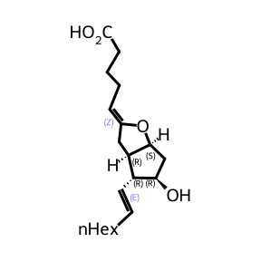 CCCCCC/C=C/[C@@H]1[C@H]2C/C(=C/CCCC(=O)O)O[C@H]2C[C@H]1O